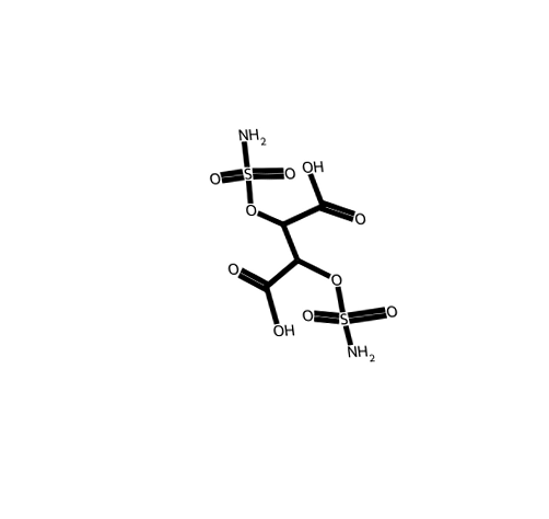 NS(=O)(=O)OC(C(=O)O)C(OS(N)(=O)=O)C(=O)O